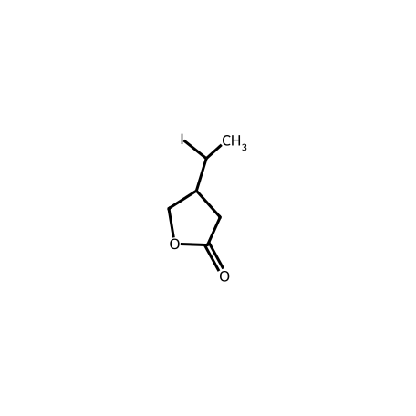 CC(I)C1COC(=O)C1